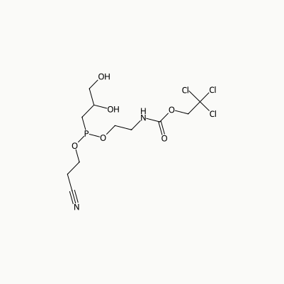 N#CCCOP(CC(O)CO)OCCNC(=O)OCC(Cl)(Cl)Cl